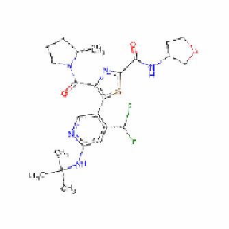 CC1CCCN1C(=O)c1nc(C(=O)NC2CCOC2)sc1-c1cnc(NC(C)(C)C)cc1C(F)F